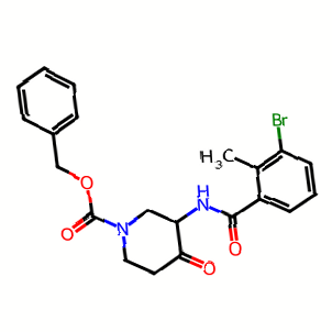 Cc1c(Br)cccc1C(=O)NC1CN(C(=O)OCc2ccccc2)CCC1=O